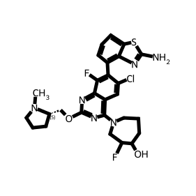 CN1CCC[C@H]1COc1nc(N2CCCC(O)C(F)C2)c2cc(Cl)c(-c3cccc4sc(N)nc34)c(F)c2n1